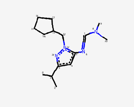 CC(C)c1cc(/N=C/N(C)C)n(CC2CCCC2)n1